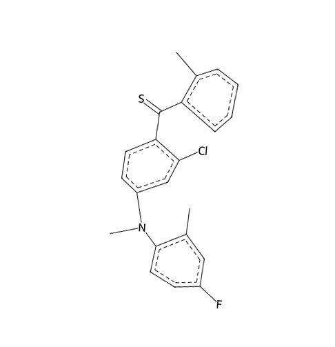 Cc1ccccc1C(=S)c1ccc(N(C)c2ccc(F)cc2C)cc1Cl